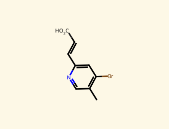 Cc1cnc(C=CC(=O)O)cc1Br